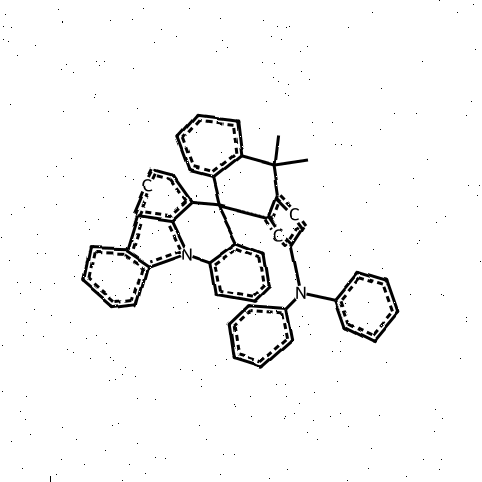 CC1(C)c2ccccc2C2(c3ccccc3-n3c4ccccc4c4cccc2c43)c2cc(N(c3ccccc3)c3ccccc3)ccc21